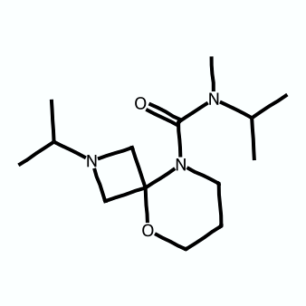 CC(C)N1CC2(C1)OCCCN2C(=O)N(C)C(C)C